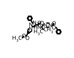 CCOC(=O)C1C2CN(c3cc(C(=O)N[C@H](C(=O)N4CCN(C(=O)OCc5ccccc5)CC4)C(C)C)nc(-c4ccccc4)n3)CC21